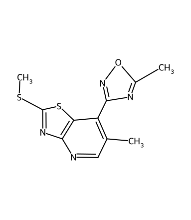 CSc1nc2ncc(C)c(-c3noc(C)n3)c2s1